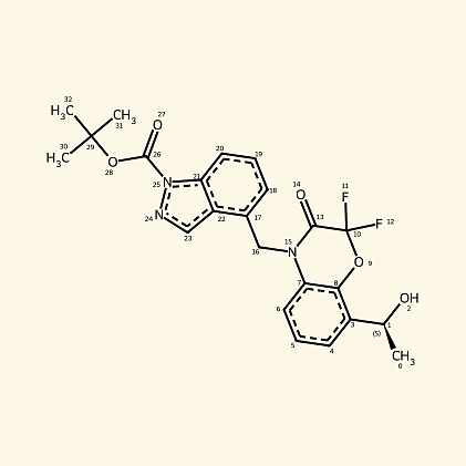 C[C@H](O)c1cccc2c1OC(F)(F)C(=O)N2Cc1cccc2c1cnn2C(=O)OC(C)(C)C